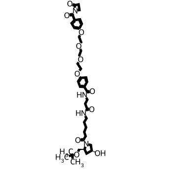 CC(C)(C)OC[C@@H]1C[C@@H](O)CN1C(=O)CCCCCNC(=O)CCNC(=O)c1ccc(OCCOCCOCCOc2ccc(C(=O)N3CCC3=O)cc2)cc1